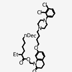 CCCCCCCCCCCCCCC(CC)C(=O)OCN1C(=O)CCc2ccc(OCCCCN3CCN(c4cccc(Cl)c4Cl)CC3)cc21